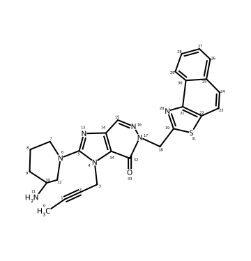 CC#CCn1c(N2CCCC(N)C2)nc2cnn(Cc3nc4c(ccc5ccccc54)s3)c(=O)c21